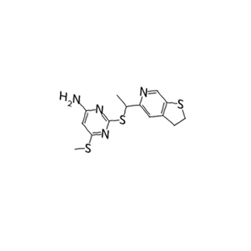 CSc1cc(N)nc(SC(C)c2cc3c(cn2)SCC3)n1